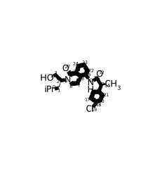 CC(C)C[C@H](CO)n1ccc2c(NC(=O)[C@@H](C)c3ccc(Cl)cc3)cccc2c1=O